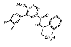 COc1ncc(C(=O)NC(CC(=O)O)c2ccccc2C)cc1-c1ccc(F)c(F)c1